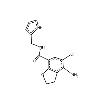 Nc1c(Cl)cc(C(=O)NCc2ccc[nH]2)c2c1CCO2